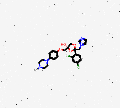 CC(=O)N1CCN(c2ccc(OC[C@@]3(O)CO[C@](Cn4ccnc4)(c4ccc(Cl)cc4Cl)O3)cc2)CC1